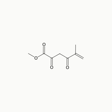 C=C(C)C(=O)CC(=O)C(=O)OC